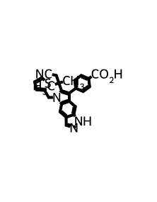 CC(C)(CC#N)c1c(-c2ccc(C(=O)O)cc2)c2cc3[nH]ncc3cc2n1Cc1cccs1